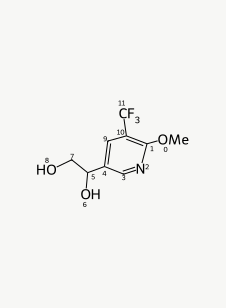 COc1ncc(C(O)CO)cc1C(F)(F)F